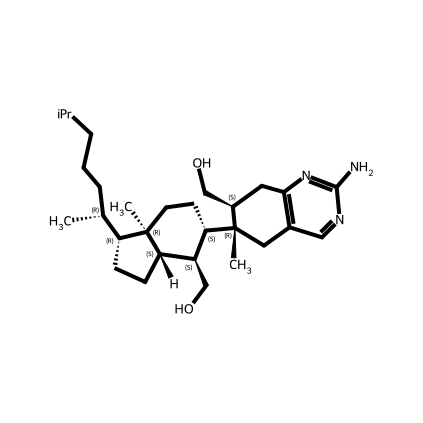 CC(C)CCC[C@@H](C)[C@H]1CC[C@H]2[C@H](CO)[C@@H]([C@@]3(C)Cc4cnc(N)nc4C[C@@H]3CO)CC[C@]12C